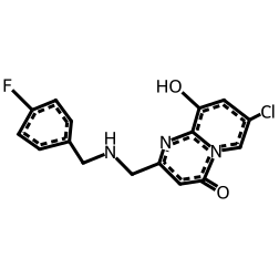 O=c1cc(CNCc2ccc(F)cc2)nc2c(O)cc(Cl)cn12